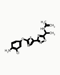 C=C(C)NC(C)c1nc(-c2cnc(Oc3ccc(N)c(Cl)c3)s2)no1